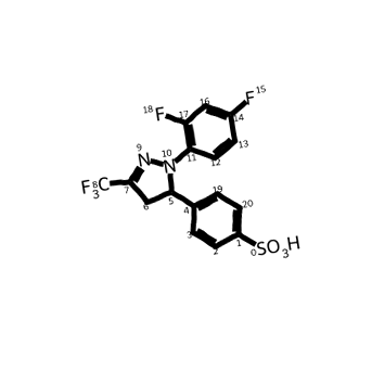 O=S(=O)(O)c1ccc(C2CC(C(F)(F)F)=NN2c2ccc(F)cc2F)cc1